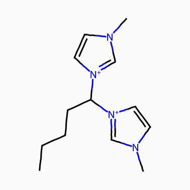 CCCCC([n+]1ccn(C)c1)[n+]1ccn(C)c1